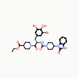 CCOC(=O)C1CCN(C(=O)[C@@H](Cc2cc(Br)c(O)c(Br)c2)NC(=O)N2CCC(n3c(=O)[nH]c4ccccc43)CC2)CC1